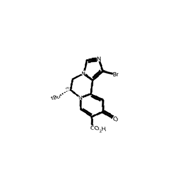 CC(C)(C)[C@@H]1Cn2cnc(Br)c2-c2cc(=O)c(C(=O)O)cn21